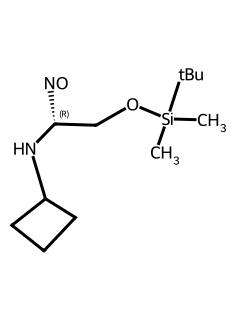 CC(C)(C)[Si](C)(C)OC[C@@H](N=O)NC1CCC1